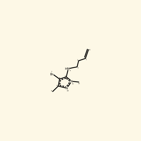 C=CCCNc1c(Br)c(C)nn1C